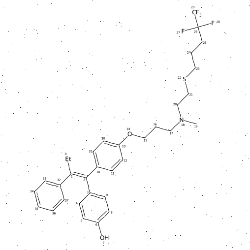 CC/C(=C(/c1ccc(O)cc1)c1ccc(OCCCN(C)CCSCCCC(F)(F)C(F)(F)F)cc1)c1ccccc1